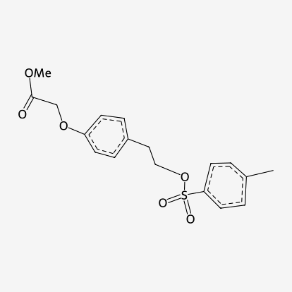 COC(=O)COc1ccc(CCOS(=O)(=O)c2ccc(C)cc2)cc1